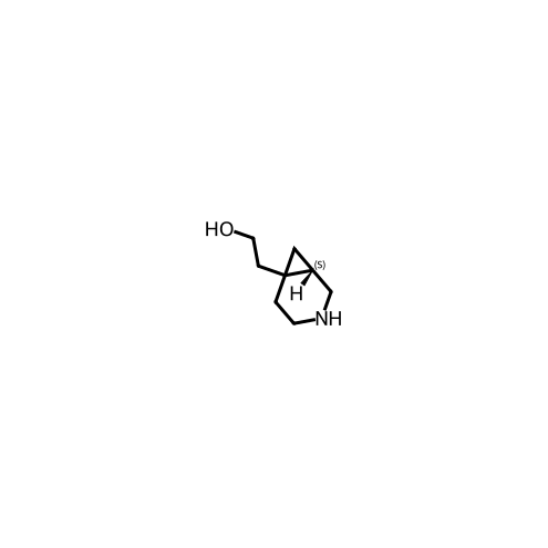 OCCC12CCNC[C@H]1C2